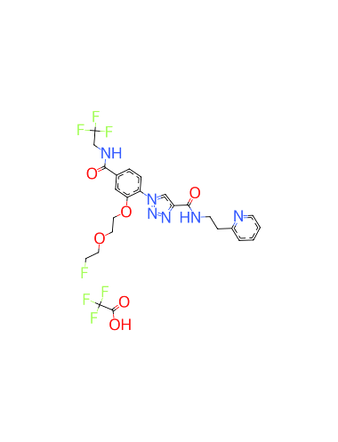 O=C(NCC(F)(F)F)c1ccc(-n2cc(C(=O)NCCc3ccccn3)nn2)c(OCCOCCF)c1.O=C(O)C(F)(F)F